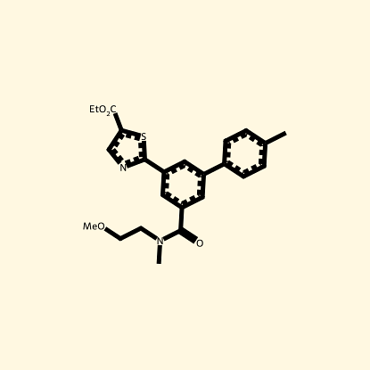 CCOC(=O)c1cnc(-c2cc(C(=O)N(C)CCOC)cc(-c3ccc(C)cc3)c2)s1